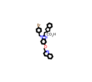 O=C(O)C1(Cc2nc3cc(OCc4ccc5ccccc5n4)ccc3n2Cc2ccc(Br)cc2)Cc2ccccc2C1